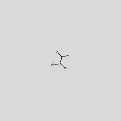 CC(C)N(C(C)C)C(C)[O]